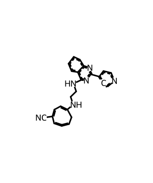 N#C/C1=C/C=C(/NCCNc2nc(-c3ccncc3)nc3ccccc23)CC=C=C1